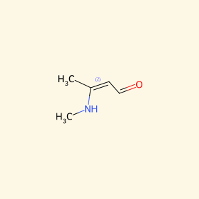 CN/C(C)=C\C=O